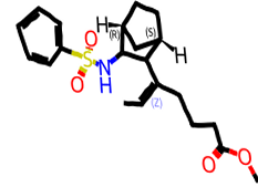 C/C=C(/CCCC(=O)OC)C1C(NS(=O)(=O)c2ccccc2)[C@@H]2CC[C@H]1C2